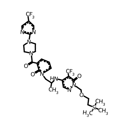 CC(Cn1cccc(C(=O)N2CCN(c3ncc(C(F)(F)F)cn3)CC2)c1=O)Nc1cnn(COCC[Si](C)(C)C)c(=O)c1C(F)(F)F